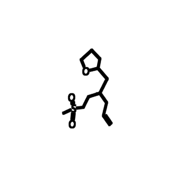 C=CC[C](CCS(C)(=O)=O)CC1CCCO1